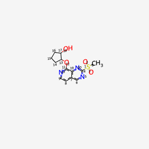 CS(=O)(=O)c1ncc2ccnc(OC3CCCC3O)c2n1